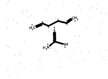 C=CCCC=C.NC(=S)S